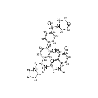 CN(CC(=O)N(C)C(CN1CCCC1)c1ccc(-c2ccc(C(=O)N3CCOCC3)cc2)cc1)c1ccc(Cl)c(Cl)c1